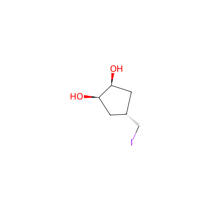 O[C@@H]1C[C@@H](CI)C[C@@H]1O